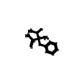 CC(O)C(N)(Cc1ccccc1)C(=O)O